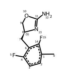 Cc1ccc(F)c(C[C@H]2COC(N)=N2)c1F